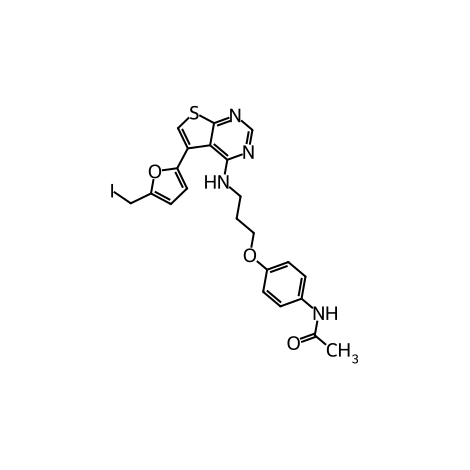 CC(=O)Nc1ccc(OCCCNc2ncnc3scc(-c4ccc(CI)o4)c23)cc1